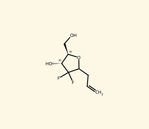 C=C[CH]C1O[C@H](CO)[C@@H](O)C1(F)F